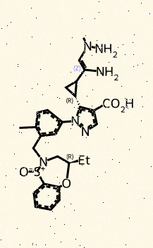 CC[C@@H]1CN(Cc2cc(-n3ncc(C(=O)O)c3[C@@H]3CC3/C(N)=C/N(C)N)ccc2C)[S+]([O-])c2ccccc2O1